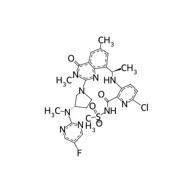 Cc1cc([C@@H](C)Nc2ccc(Cl)nc2C(=O)NS(C)(=O)=O)c2nc(N3CC[C@H](N(C)c4ncc(F)cn4)C3)n(C)c(=O)c2c1